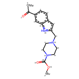 COC(=O)c1ccc2cc(CN3CCN(C(=O)OC(C)(C)C)CC3)[nH]c2c1